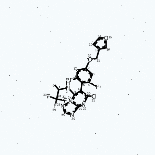 CC(Nc1c(-c2c(F)cc(OCc3ccoc3)cc2F)c(Cl)nc2ncnn12)C(F)(F)F